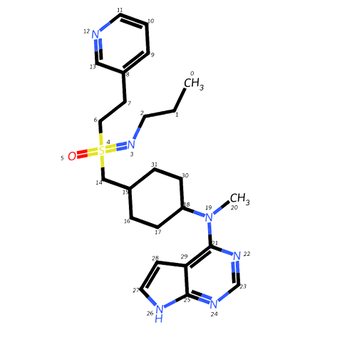 CCCN=S(=O)(CCc1cccnc1)CC1CCC(N(C)c2ncnc3[nH]ccc23)CC1